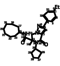 CCc1ccc(-c2cc3n(n2)CC(C)(C(=O)NC2CCCCCCC2)N(C2CCCC2)C3=O)cc1